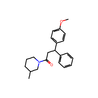 COc1ccc(C(CC(=O)N2CCCC(C)C2)c2ccccc2)cc1